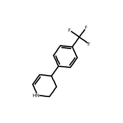 FC(F)(F)c1ccc(C2C=CNCC2)cc1